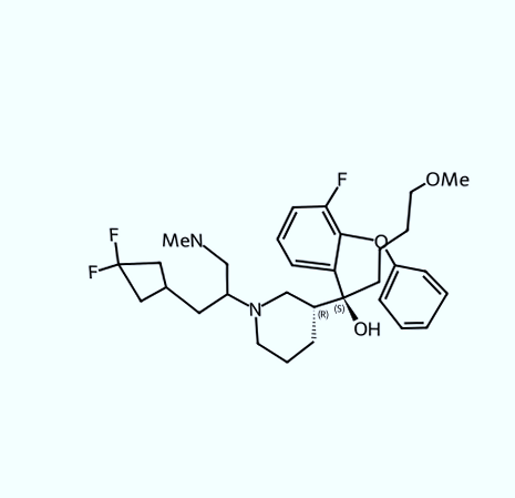 CNCC(CC1CC(F)(F)C1)N1CCC[C@@H]([C@@](O)(CCCCOC)c2cccc(F)c2Oc2ccccc2)C1